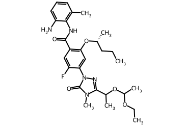 CCC[C@@H](C)Oc1cc(-n2nc(C(C)OC(C)OCC)n(C)c2=O)c(F)cc1C(=O)Nc1c(C)cccc1N